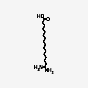 NC(N)CCCCCCCCCCCCCCC(=O)O